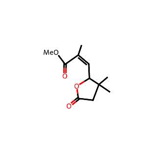 COC(=O)C(C)=CC1OC(=O)CC1(C)C